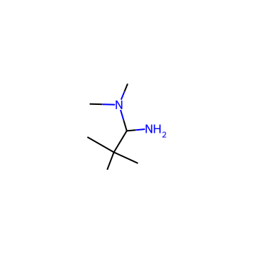 CN(C)C(N)C(C)(C)C